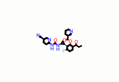 CCC(=O)c1ccc(F)c([C@@H]2C[C@@H]2NC(=O)Nc2ccc(C#N)cn2)c1OC(=O)c1cccnc1